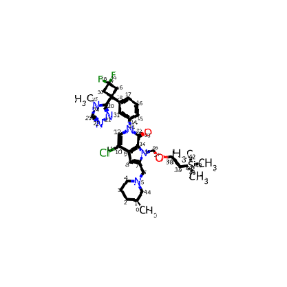 C[C@H]1CCCN(Cc2cc3c(Cl)cn(-c4cccc(C5(c6nncn6C)CC(F)(F)C5)c4)c(=O)c3n2COCC[Si](C)(C)C)C1